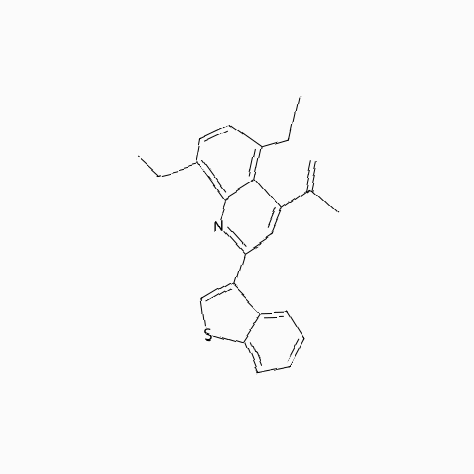 C=C(C)c1cc(-c2csc3ccccc23)nc2c(CC)ccc(CC)c12